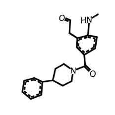 CNc1ccc(C(=O)N2CCC(c3ccccc3)CC2)cc1CC=O